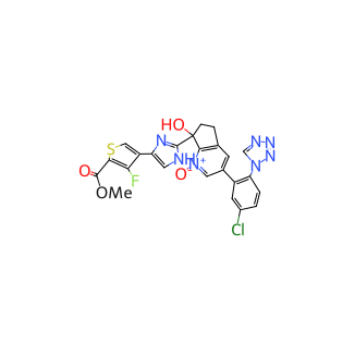 COC(=O)c1scc(-c2c[nH]c(C3(O)CCc4cc(-c5cc(Cl)ccc5-n5cnnn5)c[n+]([O-])c43)n2)c1F